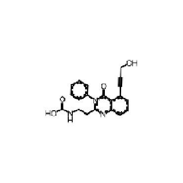 O=C(O)NCCc1nc2cccc(C#CCO)c2c(=O)n1-c1ccccc1